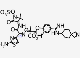 CC1(C)[C@H](NC(=O)/C(=N\O[C@](C)(C(=O)O)[C@H]2CCc3cc(C(=N)NC4CCC5(CC4)CNC5)ccc3O2)c2csc(N)n2)C(=O)N1OS(=O)(=O)O